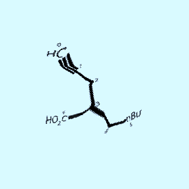 C#CC[C@@H](CCCCC)C(=O)O